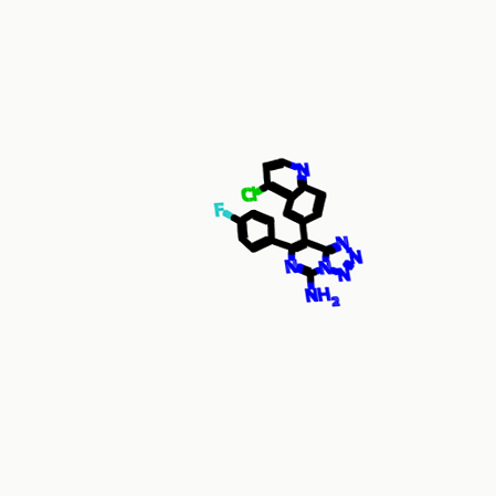 Nc1nc(-c2ccc(F)cc2)c(-c2ccc3nccc(Cl)c3c2)c2nnnn12